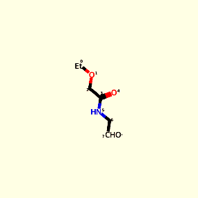 CCOCC(=O)NC[C]=O